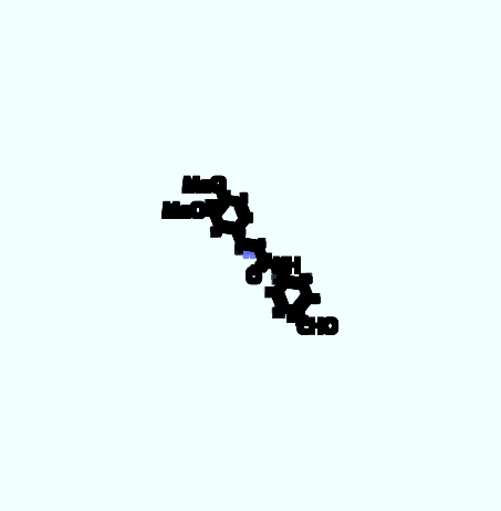 COc1ccc(/C=C/C(=O)Nc2ccc(C=O)cc2)cc1OC